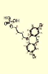 O=P(O)(O)OCCCCN1c2ccc(Br)cc2Sc2cc(Br)ccc21